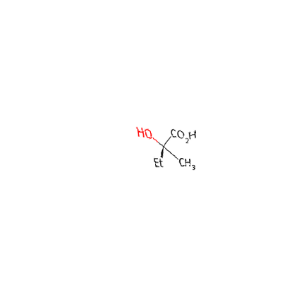 CC[C@@](C)(O)C(=O)O